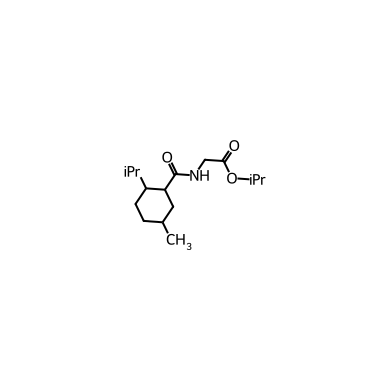 CC1CCC(C(C)C)C(C(=O)NCC(=O)OC(C)C)C1